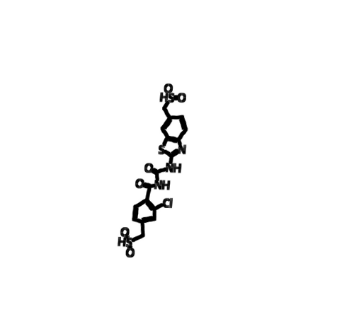 O=C(NC(=O)c1ccc(C[SH](=O)=O)cc1Cl)Nc1nc2ccc(C[SH](=O)=O)cc2s1